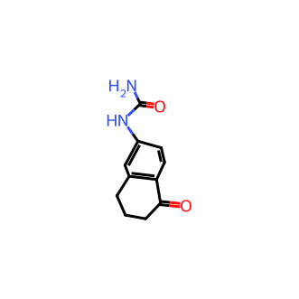 NC(=O)Nc1ccc2c(c1)CCCC2=O